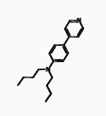 CCCCN(CCCC)c1ccc(-c2ccncc2)cc1